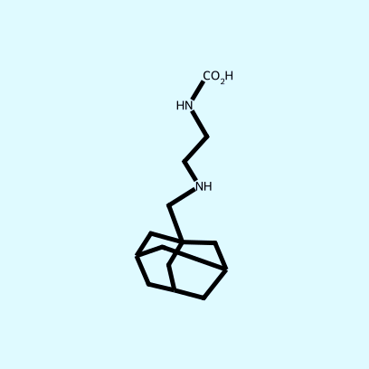 O=C(O)NCCNCC12CC3CC(CC(C3)C1)C2